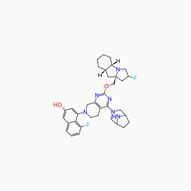 Oc1cc(N2CCc3c(nc(OC[C@]45C[C@H](F)CN4[C@H]4CCCC[C@H]4C5)nc3N3CC4CCC(C3)N4)C2)c2c(F)cccc2c1